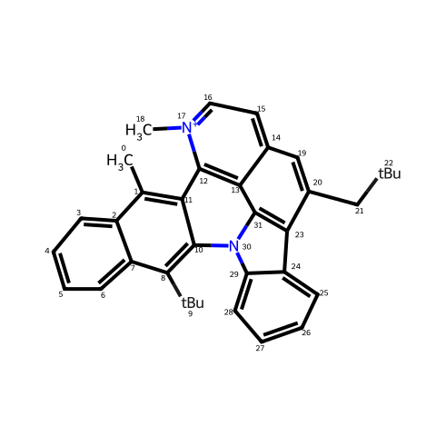 Cc1c2ccccc2c(C(C)(C)C)c2c1c1c3c(cc[n+]1C)cc(CC(C)(C)C)c1c4ccccc4n2c13